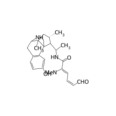 CN/C(=C\C=C/C=O)C(=O)NC(C)C1[C@@H](C)CC2(C)C3Cc4ccc(O)cc4C12CCN3